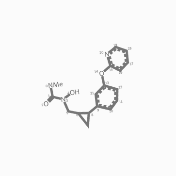 CNC(=O)N(O)CC1CC1c1cccc(Oc2ccccn2)c1